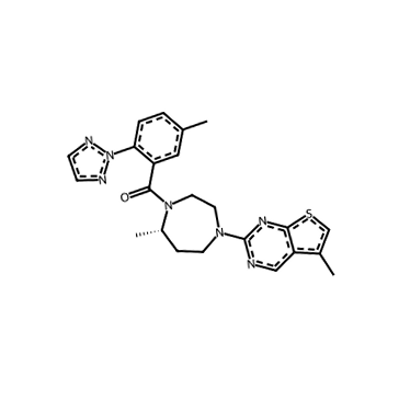 Cc1ccc(-n2nccn2)c(C(=O)N2CCN(c3ncc4c(C)csc4n3)CC[C@@H]2C)c1